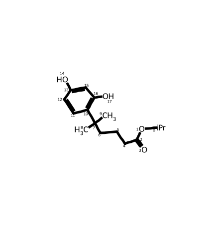 CC(C)OC(=O)CCCC(C)(C)c1ccc(O)cc1O